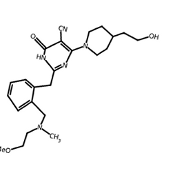 COCCN(C)Cc1ccccc1Cc1nc(N2CCC(CCO)CC2)c(C#N)c(=O)[nH]1